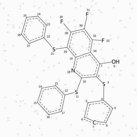 Oc1c(Sc2ccccc2)c(Sc2ccccc2)nc2c(Sc3ccccc3)c(F)c(F)c(F)c12